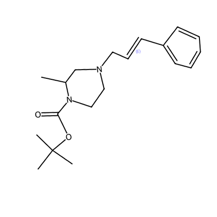 CC1CN(C/C=C/c2ccccc2)CCN1C(=O)OC(C)(C)C